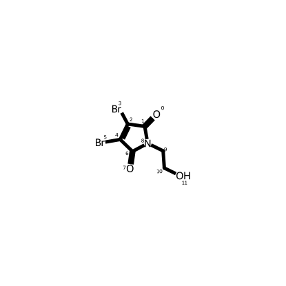 O=C1C(Br)=C(Br)C(=O)N1CCO